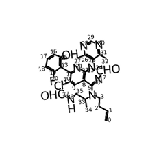 C=CCCN(/C(=N/C)c1cc(Cl)c(-c2c(O)cccc2F)nc1N(C=O)c1c(C)ncnc1C)C(C)CNC=O